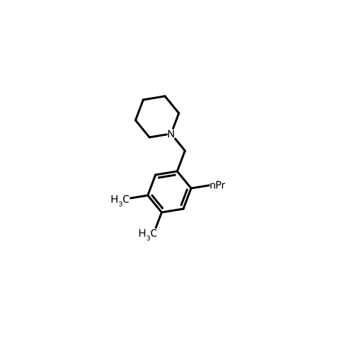 CCCc1cc(C)c(C)cc1CN1CCCCC1